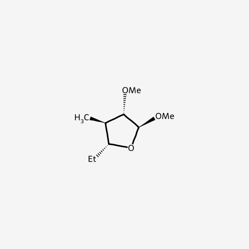 CC[C@H]1O[C@H](OC)[C@@H](OC)[C@@H]1C